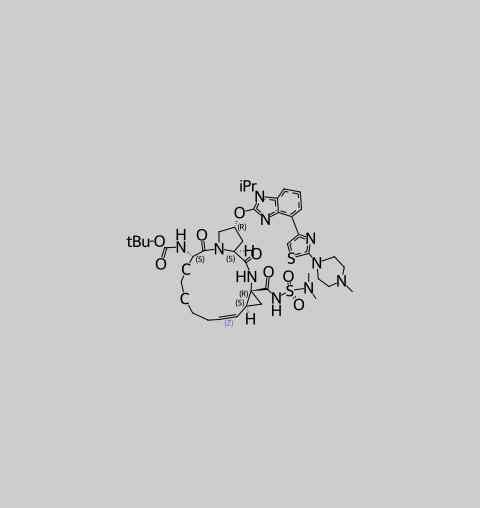 CC(C)n1c(O[C@@H]2C[C@H]3C(=O)N[C@]4(C(=O)NS(=O)(=O)N(C)C)C[C@H]4/C=C\CCCCC[C@H](NC(=O)OC(C)(C)C)C(=O)N3C2)nc2c(-c3csc(N4CCN(C)CC4)n3)cccc21